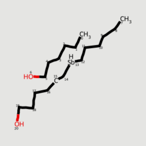 CCCCCCO.CCCCC[CH2][SbH][CH2]CCCCCO